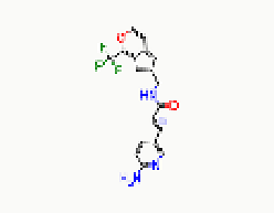 Nc1ccc(/C=C/C(=O)NCc2cc3c[c]oc(C(F)(F)F)c-3c2)cn1